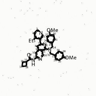 CCc1ccncc1-c1cc2cc(NC(=O)C3CCC3)ncc2c(N(Cc2ccc(OC)cc2)Cc2ccc(OC)cc2)n1